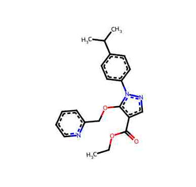 CCOC(=O)c1cnn(-c2ccc(C(C)C)cc2)c1OCc1ccccn1